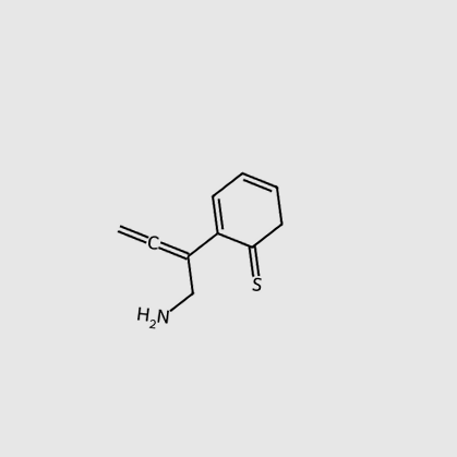 C=C=C(CN)C1=CC=CCC1=S